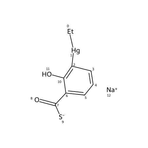 C[CH2][Hg][c]1cccc(C(=O)[S-])c1O.[Na+]